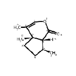 CC1=COC(=O)[C@@H]2[C@@H](C)CC[C@]12C